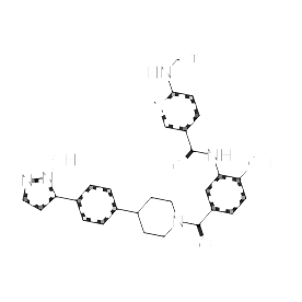 Cc1ccc(C(=O)N2CCC(c3ccc(-c4ccnn4C)cc3)CC2)cc1NC(=O)c1ccc(NC(C)C)nc1